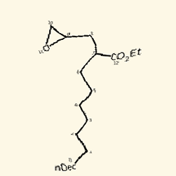 CCCCCCCCCCCCCCCCC(CC1CO1)C(=O)OCC